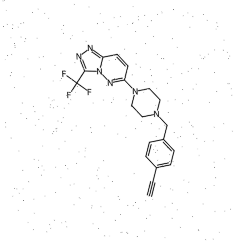 C#Cc1ccc(CN2CCN(c3ccc4nnc(C(F)(F)F)n4n3)CC2)cc1